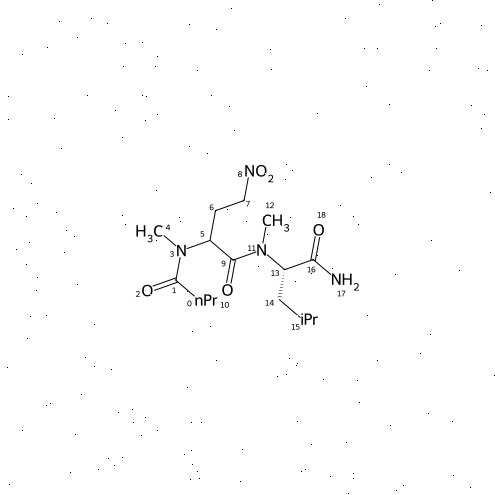 CCCC(=O)N(C)C(CC[N+](=O)[O-])C(=O)N(C)[C@@H](CC(C)C)C(N)=O